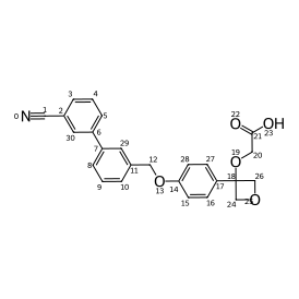 N#Cc1cccc(-c2cccc(COc3ccc(C4(OCC(=O)O)COC4)cc3)c2)c1